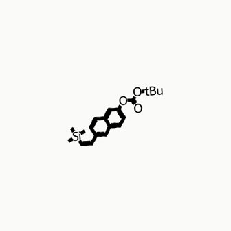 CC(C)(C)OC(=O)Oc1ccc2cc(/C=C\[Si](C)(C)C)ccc2c1